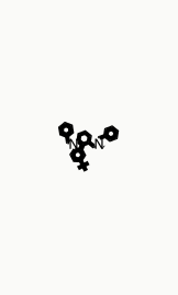 CN(Cc1ccccc1)CC1CCCc2c1c1cc(C(C)(C)C)ccc1n2Cc1ccccc1